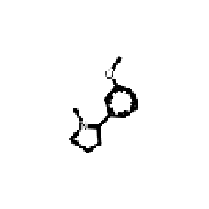 COc1cccc(C2CCCN2C)c1